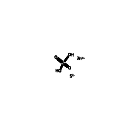 O=S(=O)(O)O.[S-2].[Zn+2]